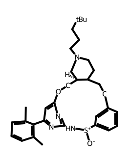 Cc1cccc(C)c1-c1cc2nc(n1)N[S+]([O-])c1cccc(c1)CCC1CCN(CCCC(C)(C)C)C[C@@H]1CO2